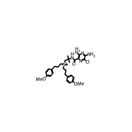 COc1ccc(CCC[N+](C)(CCCc2ccc(OC)cc2)CC(C)(C)NC(=O)c2nc(Cl)c(N)nc2N)cc1